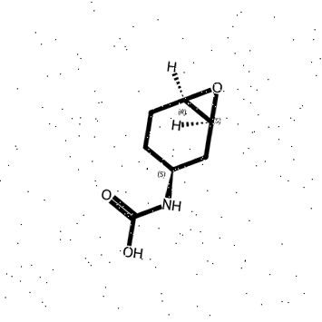 O=C(O)N[C@H]1CC[C@H]2O[C@H]2C1